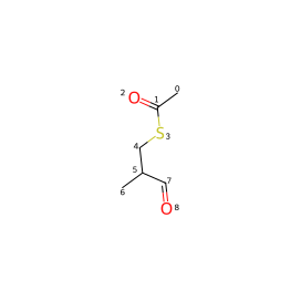 CC(=O)SCC(C)C=O